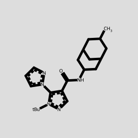 CC1CC2CC(C1)CC(NC(=O)c1cnn(C(C)(C)C)c1-n1cccn1)C2